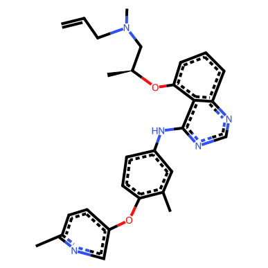 C=CCN(C)C[C@H](C)Oc1cccc2ncnc(Nc3ccc(Oc4ccc(C)nc4)c(C)c3)c12